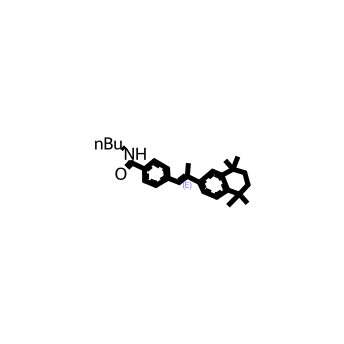 CCCCNC(=O)c1ccc(/C=C(\C)c2ccc3c(c2)C(C)(C)CCC3(C)C)cc1